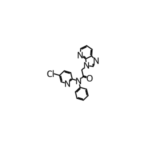 O=C(Cn1cnc2cccnc21)N(c1ccccc1)c1ccc(Cl)cn1